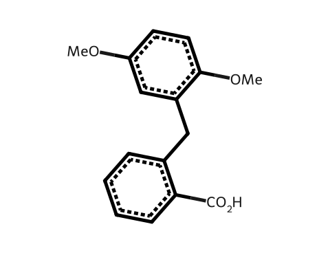 COc1ccc(OC)c(Cc2ccccc2C(=O)O)c1